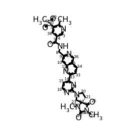 Cc1ncc(C(=O)NCc2cc3nc(-c4ccnc(N5CC[C@]6(C5)C(=O)N(C)C(=O)N6C)n4)ccc3cn2)cc1S(C)(=O)=O